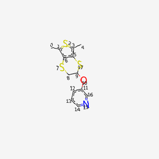 Cc1sc(C)c2c1SCC(Oc1cccnc1)S2